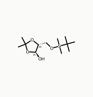 CC1(C)O[C@H](O)[C@@H](CO[Si](C)(C)C(C)(C)C)O1